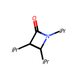 CC(C)C1C(=O)N(C(C)C)C1C(C)C